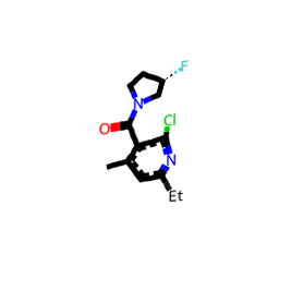 CCc1cc(C)c(C(=O)N2CC[C@H](F)C2)c(Cl)n1